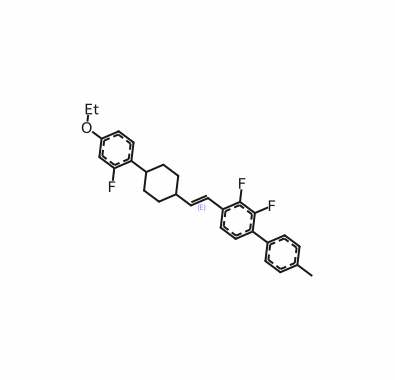 CCOc1ccc(C2CCC(/C=C/c3ccc(-c4ccc(C)cc4)c(F)c3F)CC2)c(F)c1